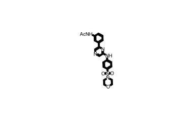 CC(=O)Nc1cccc(-c2cncc(Nc3ccc(S(=O)(=O)N4CCOCC4)cc3)n2)c1